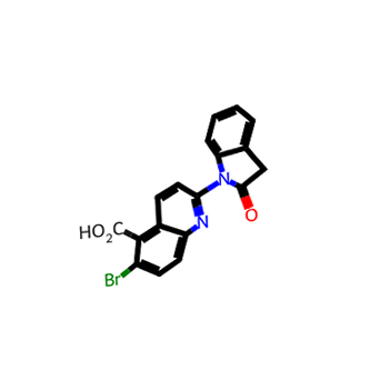 O=C(O)c1c(Br)ccc2nc(N3C(=O)Cc4ccccc43)ccc12